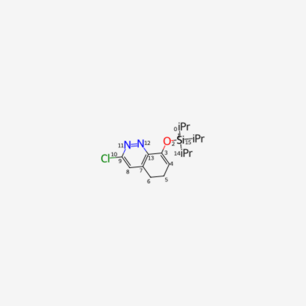 CC(C)[Si](OC1=CCCc2cc(Cl)nnc21)(C(C)C)C(C)C